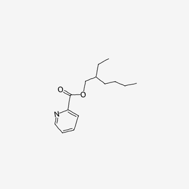 CCCCC(CC)COC(=O)c1ccccn1